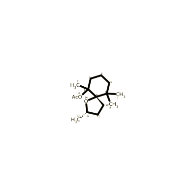 CC(=O)OC1(C)CCCC(C)(C)[C@@]12CC[C@H](C)O2